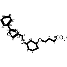 O=C(O)CCCOC1CCCC(OCc2coc(-c3ccccc3)n2)C1